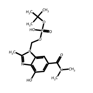 Cc1nc2c(O)cc(C(=O)N(C)C)cc2n1COP(=O)(O)OC(C)(C)C